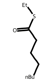 [CH2]CSC(=O)CCCCCCC